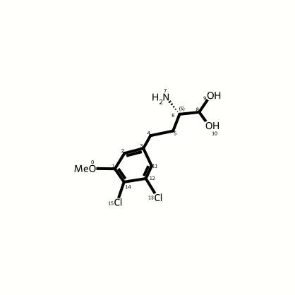 COc1cc(CC[C@H](N)C(O)O)cc(Cl)c1Cl